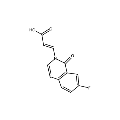 O=C(O)C=Cn1cnc2ccc(F)cc2c1=O